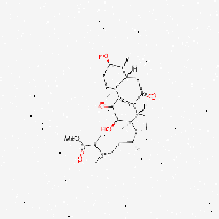 C=C(CC[C@@H](C)[C@H]1CC[C@H]2C3=C(C(=O)[C@H](O)[C@]12C)[C@@]1(C)CC[C@@H](O)[C@@H](C)[C@@H]1CC3=O)C(C)C(=O)OC